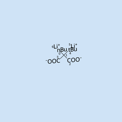 CCCCC(C(=O)[O-])(C(=O)[O-])C(C)(C)C.[Li+].[Li+]